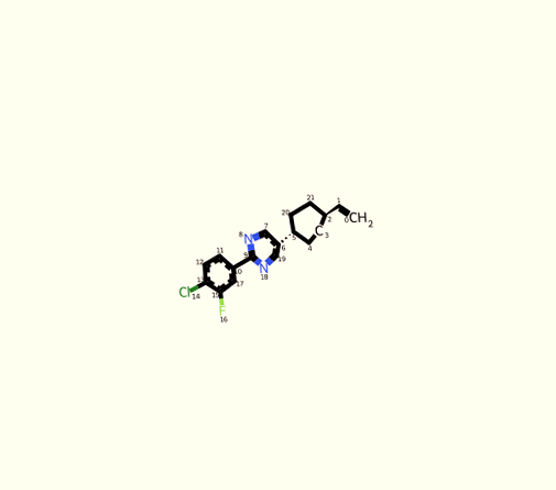 C=C[C@H]1CC[C@H](c2cnc(-c3ccc(Cl)c(F)c3)nc2)CC1